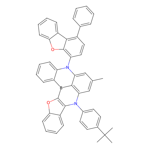 Cc1cc2c3c(c1)N(c1ccc(-c4ccccc4)c4c1oc1ccccc14)c1ccccc1B3c1oc3ccccc3c1N2c1ccc(C(C)(C)C)cc1